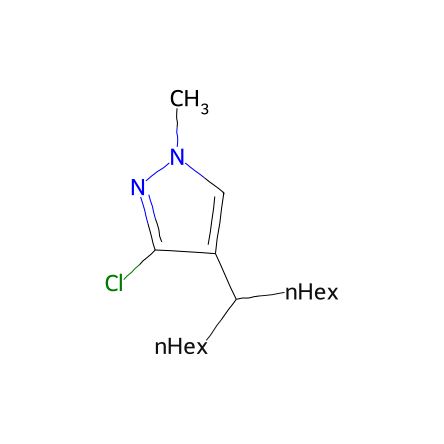 CCCCCCC(CCCCCC)c1cn(C)nc1Cl